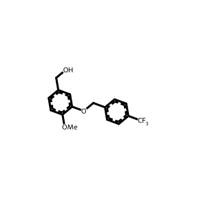 COc1ccc(CO)cc1OCc1ccc(C(F)(F)F)cc1